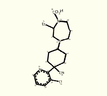 CCC1CN(C2CCC(C#N)(c3ncccc3Cl)CC2)CCCN1C(=O)O